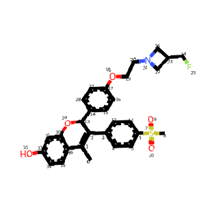 CC1=C(c2ccc(S(C)(=O)=O)cc2)C(c2ccc(OCCN3CC(CF)C3)cc2)Oc2cc(O)ccc21